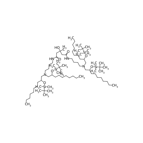 CCCCCCCCC(CN(CCCCNC(=O)CC(C)(O)CC(=O)NCCCCN(CC(CCCCCCCC)O[Si](C)(C)C(C)(C)C)CC(CCCCCCCC)O[Si](C)(C)C(C)(C)C)CC(CCCCCCCC)O[Si](C)(C)C(C)(C)C)O[Si](C)(C)C(C)(C)C